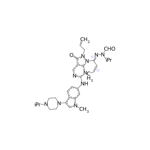 C=CCn1c(=O)c2cnc(Nc3ccc4c(N5CCN(C(C)C)CC5)cn(C)c4c3)nc2n1C(/C=C\C)=N/N(C=O)C(C)C